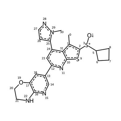 Cc1c([S+]([O-])C2CCC2)sc2nc(-c3cnc4c(c3)OCCN4)cc(-c3ccnn3C)c12